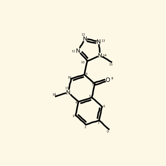 Cc1ccc2c(c1)c(=O)c(-c1nnnn1C)cn2C